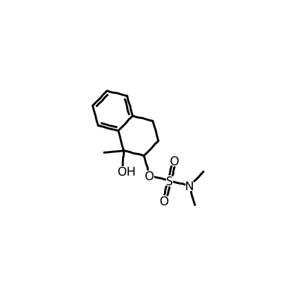 CN(C)S(=O)(=O)OC1CCc2ccccc2C1(C)O